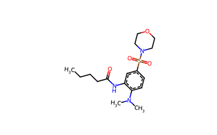 CCCCC(=O)Nc1cc(S(=O)(=O)N2CCOCC2)ccc1N(C)C